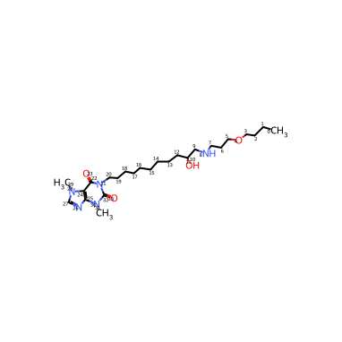 CCCCOCCCNCC(O)CCCCCCCCCn1c(=O)c2c(ncn2C)n(C)c1=O